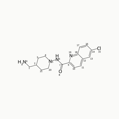 NCC1CCN(NC(=O)c2ccc3cc(Cl)ccc3n2)CC1